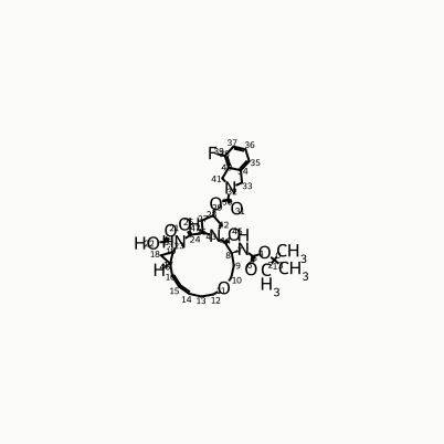 CC(C)(C)OC(=O)N[C@H]1CCOCCC=C=C[C@@H]2C[C@@]2(C(=O)O)NC(=O)[C@@H]2C[C@@H](OC(=O)N3Cc4cccc(F)c4C3)CN2C1=O